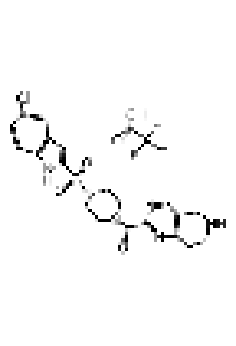 O=C(O)C(F)(F)F.O=C(c1ncc2c(n1)CCNC2)N1CCN(S(=O)(=O)c2cc3cc(Cl)ccc3[nH]2)CC1